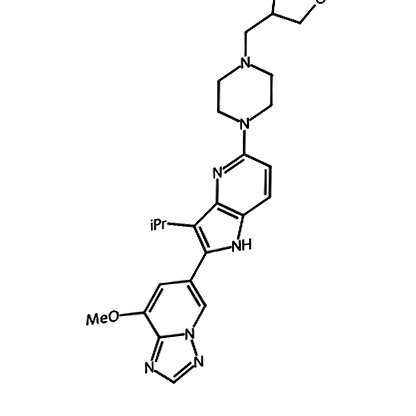 COc1cc(-c2[nH]c3ccc(N4CCN(CC5CCOC5)CC4)nc3c2C(C)C)cn2ncnc12